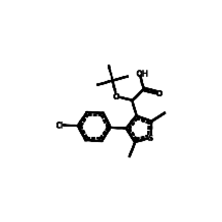 Cc1sc(C)c(C(OC(C)(C)C)C(=O)O)c1-c1ccc(Cl)cc1